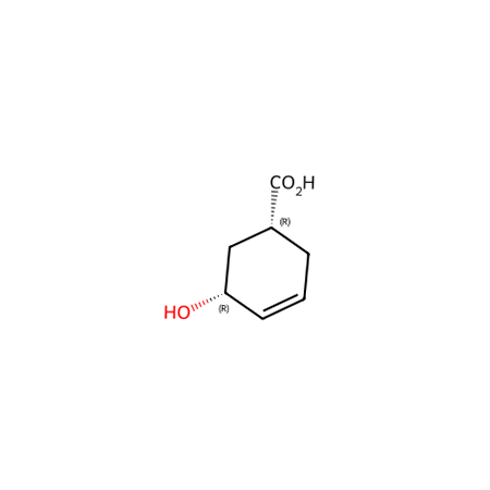 O=C(O)[C@@H]1CC=C[C@H](O)C1